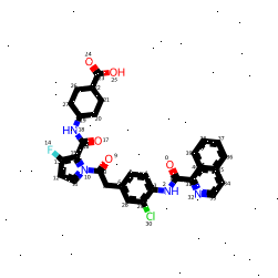 O=C(Nc1ccc(CC(=O)n2ccc(F)c2C(=O)NC2CCC(C(=O)O)CC2)cc1Cl)c1nccc2ccccc12